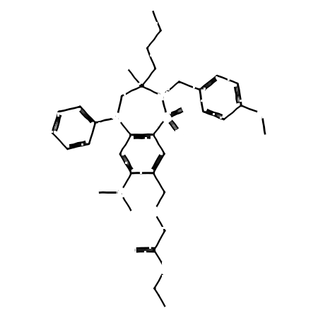 CCCCC1(C)CN(c2ccccc2)c2cc(N(C)C)c(CSCC(=O)OCC)cc2S(=O)(=O)N1Cc1ccc(OC)cc1